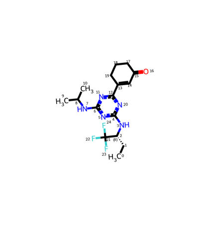 CC[C@@H](Nc1nc(NC(C)C)nc(C2=CC(=O)CCC2)n1)C(F)(F)F